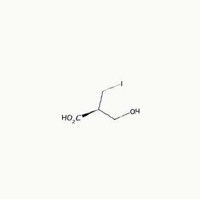 O=C(O)[C@H](CO)CI